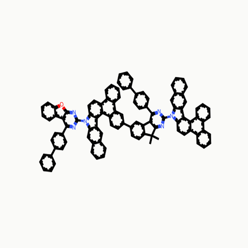 CC1(C)c2ccc(-c3ccc4c(c3)c3ccccc3c3ccc5c(c6cc7ccccc7cc6n5-c5nc(-c6ccc(-c7ccccc7)cc6)c6c(n5)oc5ccccc56)c34)cc2-c2c(-c3ccc(-c4ccccc4)cc3)nc(-n3c4cc5ccccc5cc4c4c5c6ccccc6c6ccccc6c5ccc43)nc21